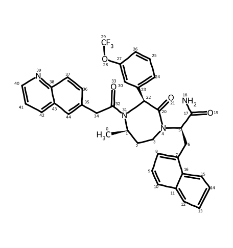 C[C@@H]1CCN([C@H](Cc2cccc3ccccc23)C(N)=O)C(=O)[C@H](c2cccc(OC(F)(F)F)c2)N1C(=O)Cc1ccc2ncccc2c1